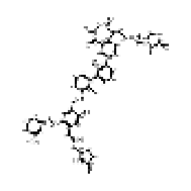 Cc1c(OCc2cc(OCc3cncc(C#N)c3)c(CNC[C@H]3CCC(=O)N3)cc2Cl)cccc1-c1cccc(-c2ccc3c(c2)C(=O)N(C)CC(=O)N3CCNC[C@H]2CCC(=O)N2)c1C